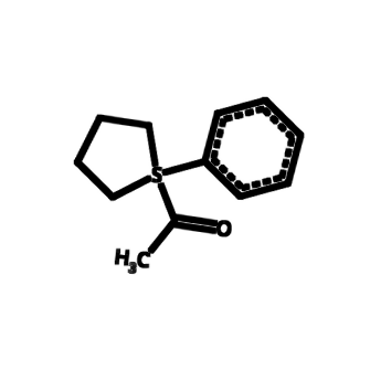 CC(=O)S1(c2ccccc2)CCCC1